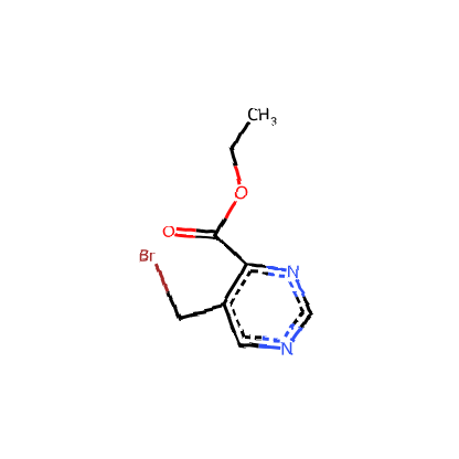 CCOC(=O)c1ncncc1CBr